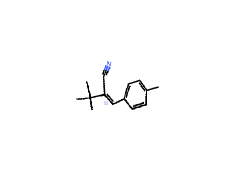 Cc1ccc(/C=C(\C#N)C(C)(C)C)cc1